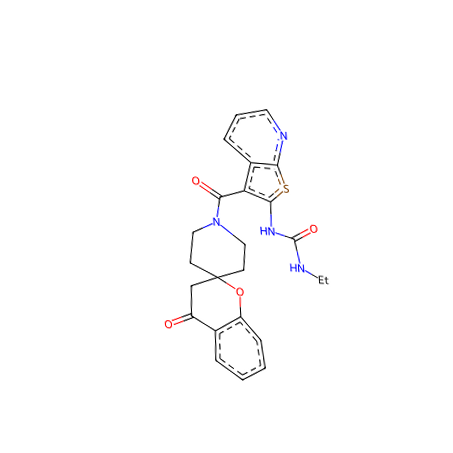 CCNC(=O)Nc1sc2ncccc2c1C(=O)N1CCC2(CC1)CC(=O)c1ccccc1O2